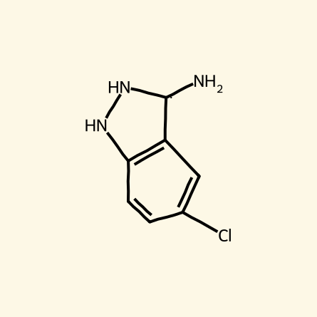 N[C]1NNc2ccc(Cl)cc21